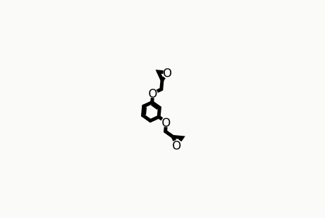 C1=CC(OCC2CO2)=CC(OCC2CO2)C1